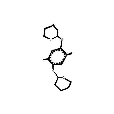 Cc1cc(OC2CCCCO2)c(C)cc1OC1CCCCO1